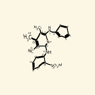 Cc1c(Nc2ccccc2)nc(Nc2ccccc2S(=O)(=O)O)c(C#N)c1C